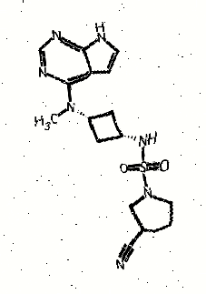 CN(c1ncnc2[nH]ccc12)[C@H]1C[C@@H](NS(=O)(=O)N2CCC(C#N)C2)C1